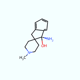 CN1CCC2(CC1)Cc1ccccc1[C@]2(N)O